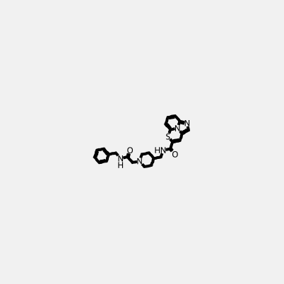 O=C(CN1CCC(CNC(=O)C2=Cc3cnc4cccc(n34)S2)CC1)NCc1ccccc1